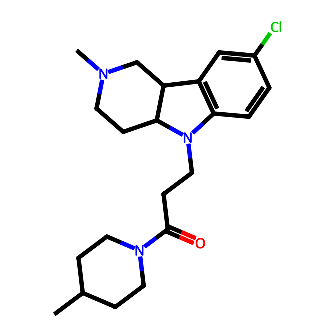 CC1CCN(C(=O)CCN2c3ccc(Cl)cc3C3CN(C)CCC32)CC1